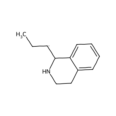 CC[CH]C1NCCc2ccccc21